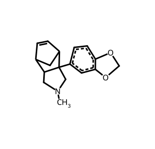 CN1CC2C3C=CC(C3)C2(c2ccc3c(c2)OCO3)C1